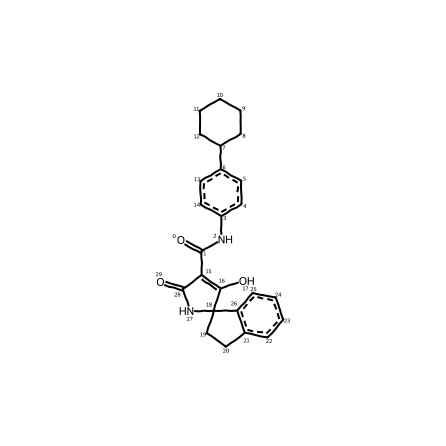 O=C(Nc1ccc(C2CCCCC2)cc1)C1=C(O)C2(CCc3ccccc32)NC1=O